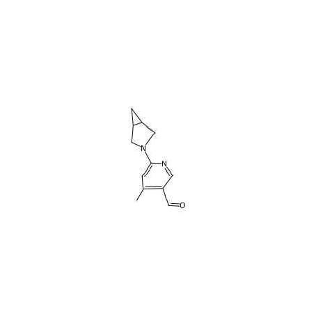 Cc1cc(N2CC3CC3C2)ncc1C=O